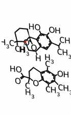 CC(C)c1cc2c(c(O)c1O)[C@@]13CCCC(C)(C)[C@@H]1C[C@@H]2OC3=O.Cc1c(C)c2c(c(C)c1O)CCC(C)(C(=O)O)O2